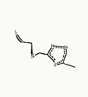 Cc1nnc(SCC=S)s1